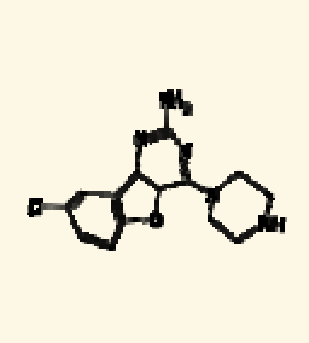 NC1=NC2c3cc(Cl)ccc3OC2C(N2CCNCC2)=N1